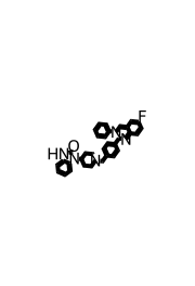 O=c1[nH]c2ccccc2n1C1CCN(Cc2ccc(C3N=c4ccc(F)cc4=CN3c3ccccc3)cc2)CC1